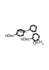 CCCCCCCCCCc1ccccc1.CCCCCCCCCCc1ccccc1.CCCCCCCCCCc1ccccc1.CCl